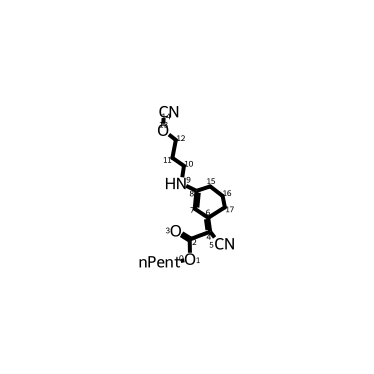 CCCCCOC(=O)/C(C#N)=C1\C=C(NCCCOC#N)CCC1